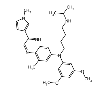 COc1cc(OC)cc(N(CCCCNC(C)C)c2ccc(/N=C\C(=N)c3ccn(C)c3)c(C)c2)c1